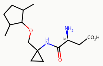 CC1CCC(C)C1OCC1(NC(=O)[C@@H](N)CC(=O)O)CC1